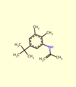 C=C(C)Nc1cc(C(C)(C)C)cc(C)c1C